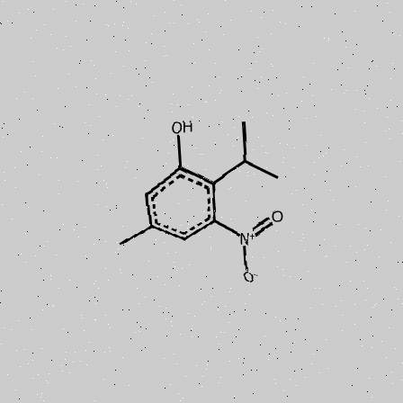 Cc1cc(O)c(C(C)C)c([N+](=O)[O-])c1